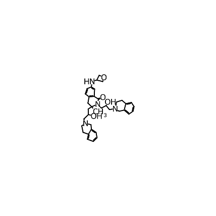 CC1(CC(O)CN2CCc3ccccc3C2)Cc2ccc(NC3COC3)cc2C(=O)N1CC(O)CN1CCc2ccccc2C1